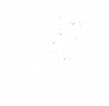 CN(C)c1ccc(C2(C)C=CC(S(=O)(=O)O)=CC2)cn1